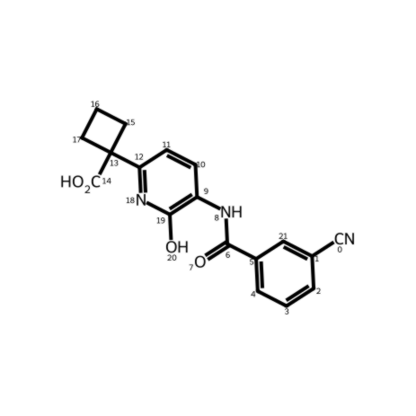 N#Cc1cccc(C(=O)Nc2ccc(C3(C(=O)O)CCC3)nc2O)c1